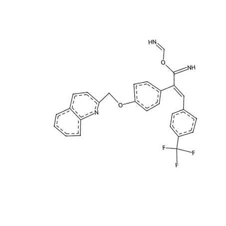 N=COC(=N)/C(=C/c1ccc(C(F)(F)F)cc1)c1ccc(OCc2ccc3ccccc3n2)cc1